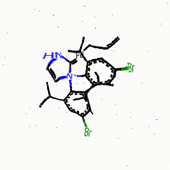 C=C[CH2]/[Pd]=[C]1\NC=C[N+]1(c1c(C(C)C)cc(Br)cc1C(C)C)c1c(C(C)C)cc(Br)cc1C(C)C